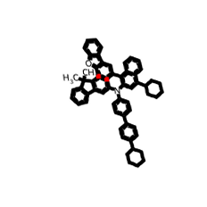 CC1(C)c2ccccc2-c2cc(N(c3ccc(-c4ccc(C5CCCCC5)cc4)cc3)c3cc(C4CCCCC4)c4ccccc4c3-c3ccc4oc5ccccc5c4c3)ccc21